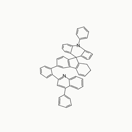 C1=CC2=C(CC1)C1(c3ccc(-c4ccccc4-c4cc(-c5ccccc5)c5ccccc5n4)cc32)c2ccccc2N(c2ccccc2)c2ccccc21